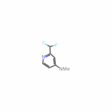 CNc1ccnc(C(F)F)c1